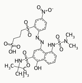 CN(C)S(=O)(=O)Nc1cccc2c(O)c(S(=O)(=O)NC(C)(C)C)cc(N=Nc3ccc([N+](=O)[O-])cc3S(=O)(=O)CCCS(=O)(=O)O)c12